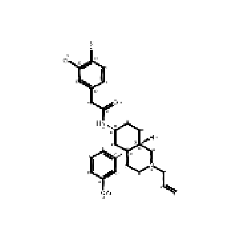 C=CCN1CC[C@@]2(c3cccc(OC(C)=O)c3)C[C@H](NC(=O)Cc3ccc(Cl)c(Cl)c3)CC[C@@H]2C1